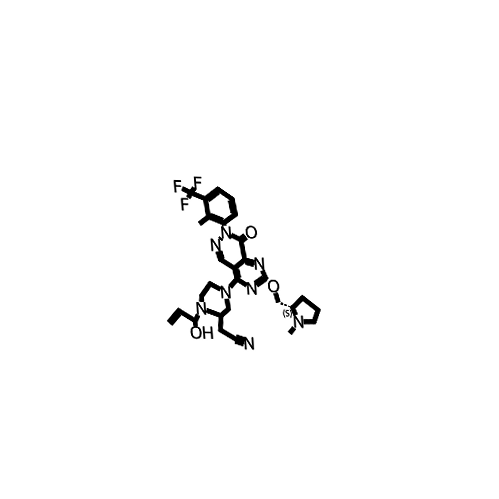 C=CC(O)N1CCN(c2nc(OC[C@@H]3CCCN3C)nc3c(=O)n(-c4cccc(C(F)(F)F)c4C)ncc23)CC1CC#N